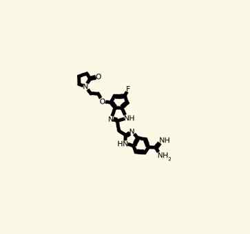 N=C(N)c1ccc2[nH]c(Cc3nc4c(OCCN5CCCC5=O)cc(F)cc4[nH]3)nc2c1